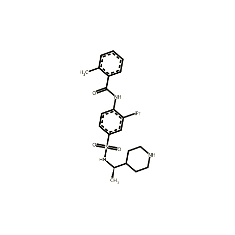 Cc1ccccc1C(=O)Nc1ccc(S(=O)(=O)N[C@H](C)C2CCNCC2)cc1C(C)C